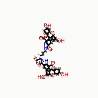 CCC(=O)[C@H](CCCCNC(=O)c1ccc2c(c1)C(=O)OC21c2ccc(O)cc2Oc2cc(O)ccc21)NC(=O)c1ccc2c(c1)C(=O)OC21c2ccc(O)cc2Oc2cc(O)ccc21